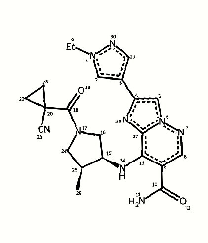 CCn1cc(-c2cn3ncc(C(N)=O)c(N[C@@H]4CN(C(=O)C5(C#N)CC5)C[C@@H]4C)c3n2)cn1